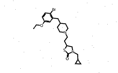 CCOc1ccc(Br)c(CC2CCN(CCC3CN(CC4CC4)C(=O)S3)CC2)c1